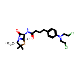 CC1(C)S[C@@H]2[C@H](NC(=O)CCCc3ccc(N(CCCl)CCCl)cc3)C(=O)N2[C@H]1C(=O)O